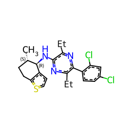 CCc1nc(-c2ccc(Cl)cc2Cl)c(CC)nc1N[C@H]1c2ccsc2CC[C@@H]1C